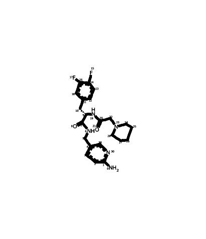 Nc1ccc(CNC(=O)[C@H](Cc2ccc(F)c(F)c2)NC(=O)CN2CCCCC2)cn1